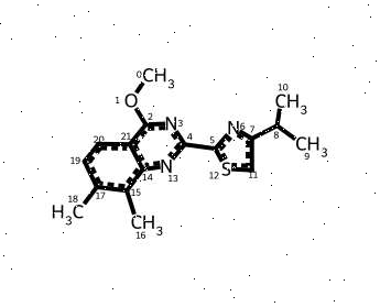 COc1nc(-c2nc(C(C)C)cs2)nc2c(C)c(C)ccc12